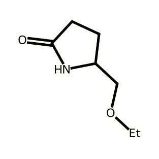 CCOCC1CCC(=O)N1